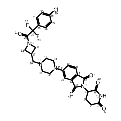 O=C1CCC(N2C(=O)c3ccc(N4CCN(CC5CN(C(=O)C(F)(F)c6ccc(Cl)cc6)C5)CC4)cc3C2=O)C(=O)N1